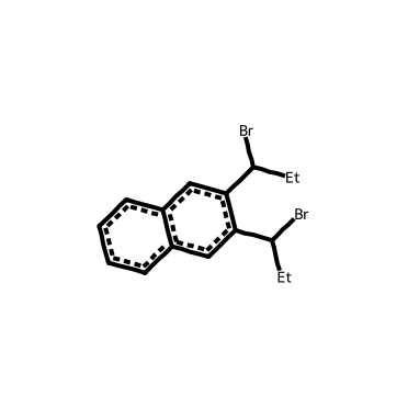 CCC(Br)c1cc2ccccc2cc1C(Br)CC